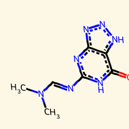 CN(C)C=Nc1nc2nn[nH]c2c(=O)[nH]1